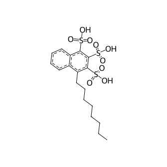 CCCCCCCCc1c(S(=O)(=O)O)c(S(=O)(=O)O)c(S(=O)(=O)O)c2ccccc12